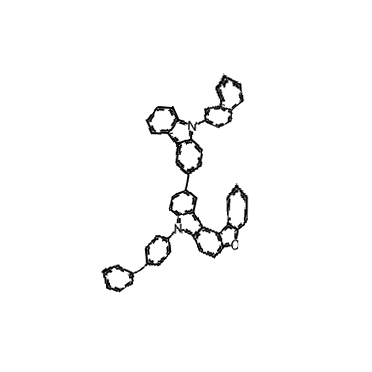 c1ccc(-c2ccc(-n3c4ccc(-c5ccc6c(c5)c5ccccc5n6-c5ccc6ccccc6c5)cc4c4c5c(ccc43)oc3ccccc35)cc2)cc1